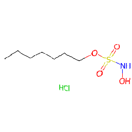 CCCCCCCOS(=O)(=O)NO.Cl